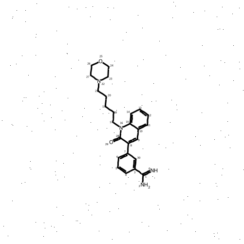 N=C(N)c1cccc(-c2cc3ccccc3n(CCCCCN3CCOCC3)c2=O)c1